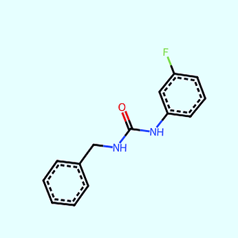 O=C(NCc1ccccc1)Nc1cccc(F)c1